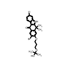 CC(C)(O)OCCCOc1cc2c(cc1Br)C(=O)c1c([nH]c3cc(Cl)ccc13)C2(C)C